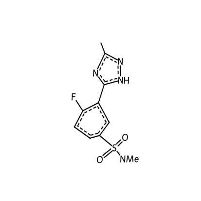 CNS(=O)(=O)c1ccc(F)c(-c2nc(C)n[nH]2)c1